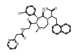 C[C@@H]1CCN(C(Cc2cccc3ccccc23)C(N)=O)C(=O)[C@H](c2cccc(Cl)c2)N1C(=O)CNC(=O)Cc1ncccn1